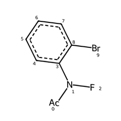 CC(=O)N(F)c1ccccc1Br